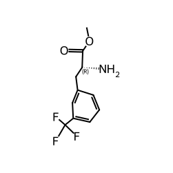 COC(=O)[C@H](N)Cc1cccc(C(F)(F)F)c1